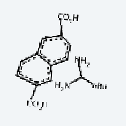 CCCCC(N)N.O=C(O)c1ccc2cc(C(=O)O)ccc2c1